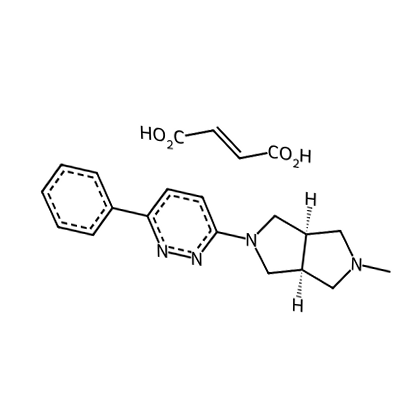 CN1C[C@@H]2CN(c3ccc(-c4ccccc4)nn3)C[C@@H]2C1.O=C(O)C=CC(=O)O